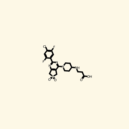 O=C(O)CCNC1CCN(c2nc(-c3cc(F)c(Cl)cc3F)nc3c2CS(=O)(=O)C3)CC1